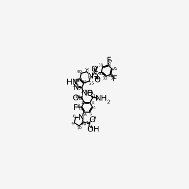 NC(=O)c1ccc(N2CCC[C@@H]2C(=O)O)c(F)c1C(=O)Nc1n[nH]c2c1CN(S(=O)(=O)c1cc(F)cc(F)c1)CC2